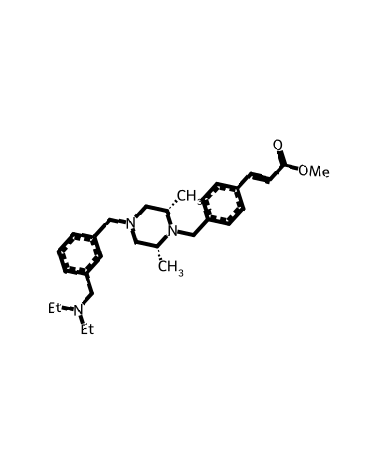 CCN(CC)Cc1cccc(CN2C[C@@H](C)N(Cc3ccc(C=CC(=O)OC)cc3)[C@@H](C)C2)c1